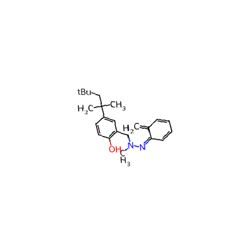 C=C1C=CC=C/C1=N/N(C)Cc1cc(C(C)(C)CC(C)(C)C)ccc1O